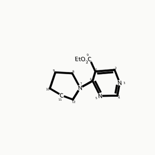 CCOC(=O)c1cn[c]nc1N1CCCCC1